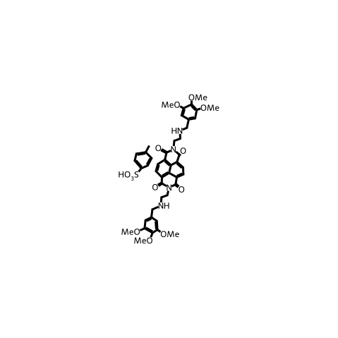 COc1cc(CNCCN2C(=O)c3ccc4c5c(ccc(c35)C2=O)C(=O)N(CCNCc2cc(OC)c(OC)c(OC)c2)C4=O)cc(OC)c1OC.Cc1ccc(S(=O)(=O)O)cc1